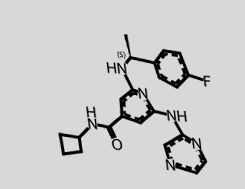 C[C@H](Nc1cc(C(=O)NC2CCC2)cc(Nc2cnccn2)n1)c1ccc(F)cc1